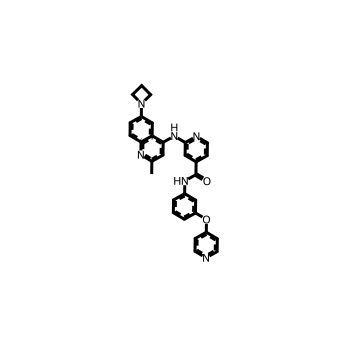 Cc1cc(Nc2cc(C(=O)Nc3cccc(Oc4ccncc4)c3)ccn2)c2cc(N3CCC3)ccc2n1